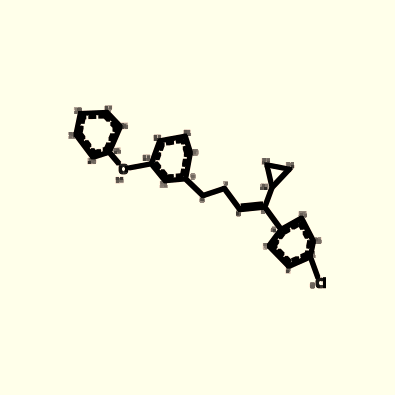 Clc1ccc(C(=CCCc2cccc(Oc3ccccc3)c2)C2CC2)cc1